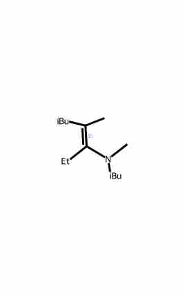 CC/C(=C(/C)C(C)CC)N(C)C(C)CC